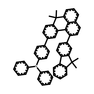 CC1(C)c2ccccc2-c2ccc(-c3ccc4cccc5c4c3-c3cc(-c4ccc(N(c6ccccc6)c6ccccc6)cc4)ccc3C5(C)C)cc21